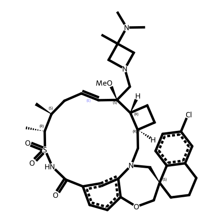 CO[C@]1(CN2CC(C)(N(C)C)C2)/C=C/C[C@H](C)[C@@H](C)S(=O)(=O)NC(=O)c2ccc3c(c2)N(C[C@@H]2CC[C@H]21)C[C@@]1(CCCc2cc(Cl)ccc21)CO3